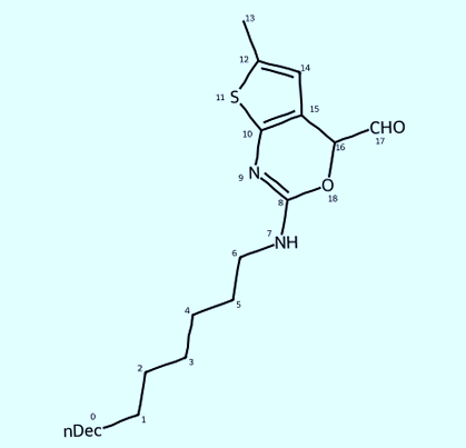 CCCCCCCCCCCCCCCCNC1=Nc2sc(C)cc2C(C=O)O1